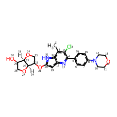 Cc1c(Cl)c(-c2ccc(N3CCOCC3)cc2)nc2cc(O[C@@H]3CO[C@H]4[C@@H]3OC[C@H]4O)[nH]c12